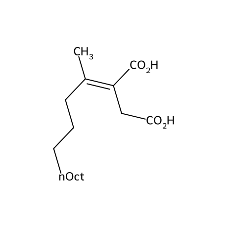 CCCCCCCCCCCC(C)=C(CC(=O)O)C(=O)O